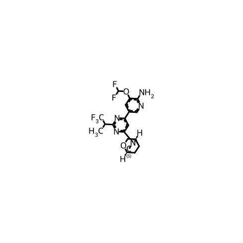 CC(c1nc(-c2cnc(N)c(OC(F)F)c2)cc(N2C[C@@H]3CC[C@H]2CO3)n1)C(F)(F)F